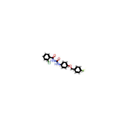 O=C(NC(=O)c1ccccc1Cl)Nc1ccc(OCc2ccc(F)cc2)cc1